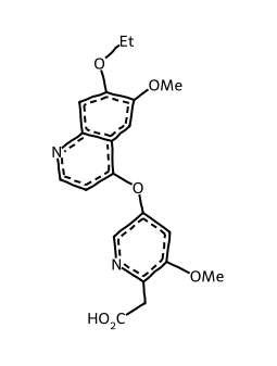 CCOc1cc2nccc(Oc3cnc(CC(=O)O)c(OC)c3)c2cc1OC